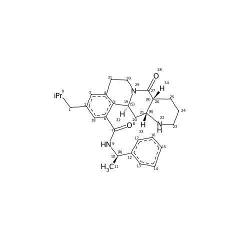 CC(C)Cc1cc2c(c(C(=O)N[C@H](C)c3ccccc3)c1)[C@@H]1C[C@H]3NCCC[C@H]3C(=O)N1CC2